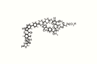 Cc1ncsc1-c1ccc(C(C)NC(=O)[C@@H]2C[C@@H](OC(=O)CCC(=O)O)CN2C(=O)C(NC(=O)CN2CCC(N3CCN(c4ccc(-c5cnc6[nH]cc(C(=O)c7c(F)ccc(NS(=O)(=O)N8CC[C@@H](F)C8)c7F)c6c5)cc4)CC3)CC2)C(C)(C)C)cc1